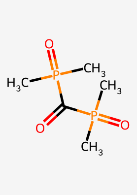 CP(C)(=O)C(=O)P(C)(C)=O